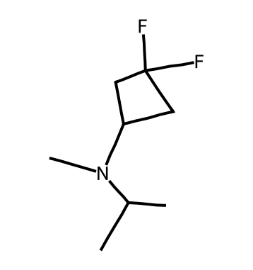 CC(C)N(C)C1CC(F)(F)C1